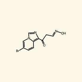 O=C(CC=NO)c1ncn2cc(Br)ccc12